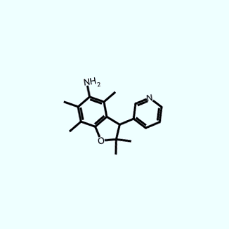 Cc1c(C)c2c(c(C)c1N)C(c1cccnc1)C(C)(C)O2